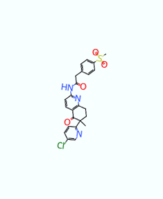 CC1(c2ccc(Cl)cn2)CCc2nc(NC(=O)Cc3ccc(S(C)(=O)=O)cc3)ccc2C1=O